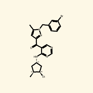 CC[C@@H]1C[C@@H](Nc2ncncc2C(=O)c2cc(C)n(Cc3cccc(Br)c3)n2)C[C@@H]1C